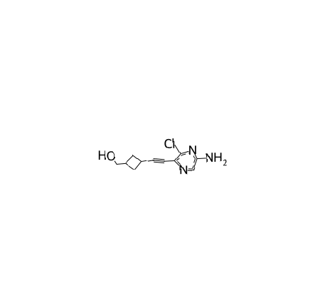 Nc1cnc(C#CC2CC(CO)C2)c(Cl)n1